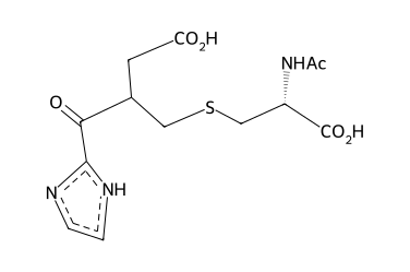 CC(=O)N[C@@H](CSCC(CC(=O)O)C(=O)c1ncc[nH]1)C(=O)O